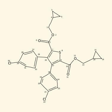 O=C(OCC1CC1)c1sc(C(=O)OCC2CC2)c(-c2ccc(Cl)cc2)c1-c1ccc(Cl)cc1